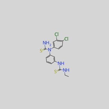 CCNC(=S)Nc1cccc(N(C(N)=S)c2ccc(Cl)c(Cl)c2)c1